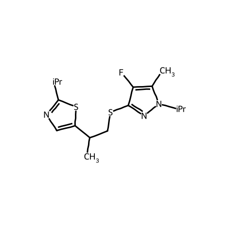 Cc1c(F)c(SCC(C)c2cnc(C(C)C)s2)nn1C(C)C